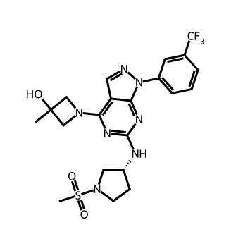 CC1(O)CN(c2nc(N[C@@H]3CCN(S(C)(=O)=O)C3)nc3c2cnn3-c2cccc(C(F)(F)F)c2)C1